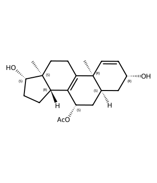 CC(=O)O[C@H]1C[C@@H]2C[C@@H](O)C=C[C@]2(C)C2=C1[C@@H]1CC[C@H](O)[C@@]1(C)CC2